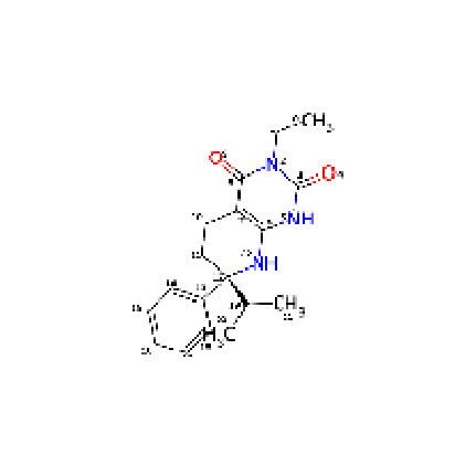 CCn1c(=O)[nH]c2c(c1=O)CC[C@](c1ccccc1)(C(C)C)N2